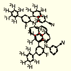 [2H]c1c([2H])c([2H])c(-c2cc(F)c(N(C3=CC=C4C=CC5=C(N(c6cccc(C#N)c6)c6c(F)cc(-c7c([2H])c([2H])c([2H])c([2H])c7[2H])cc6-c6c([2H])c([2H])c([2H])c([2H])c6[2H])C=CC6=CC=C3C4C65)c3cccc(C#N)c3)c(-c3c([2H])c([2H])c([2H])c([2H])c3[2H])c2)c([2H])c1[2H]